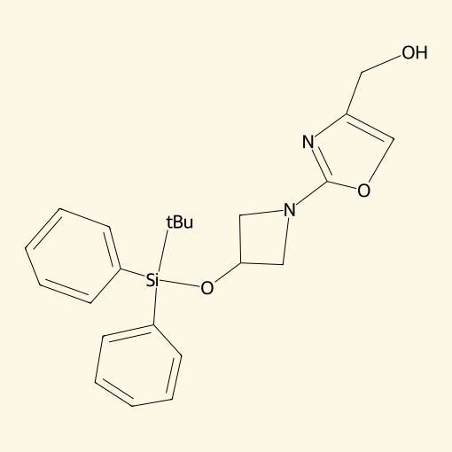 CC(C)(C)[Si](OC1CN(c2nc(CO)co2)C1)(c1ccccc1)c1ccccc1